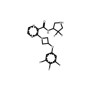 O=C(NC1CNCC1(F)F)c1nccnc1N1CC(Oc2cc(F)c(F)c(F)c2)C1